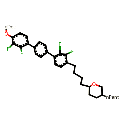 CCCCCCCCCCOc1ccc(-c2ccc(-c3ccc(CCCCC4CCC(CCCCC)CO4)c(F)c3F)cc2)c(F)c1F